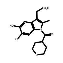 Cc1c(CC(=O)O)c2cc(O)c(Cl)cc2n1C(=O)C1CCOCC1